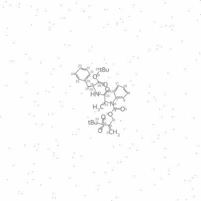 C=C(COC(=O)N(c1ccccc1)C(C)C(=O)N[C@@H](Cc1ccccc1)C(=O)OC(C)(C)C)S(=O)(=O)C(C)(C)C